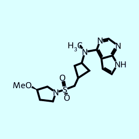 CO[C@@H]1CCN(S(=O)(=O)CC2CC(N(C)c3ncnc4[nH]ccc34)C2)C1